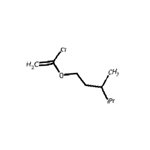 C=C(Cl)OCCC(C)C(C)C